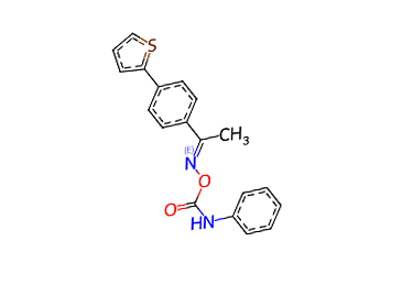 C/C(=N\OC(=O)Nc1ccccc1)c1ccc(-c2cccs2)cc1